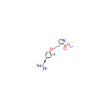 [2H]C(C#Cc1ccc(OCCCc2scnc2C(=O)OCC)c(F)c1)N(C)C